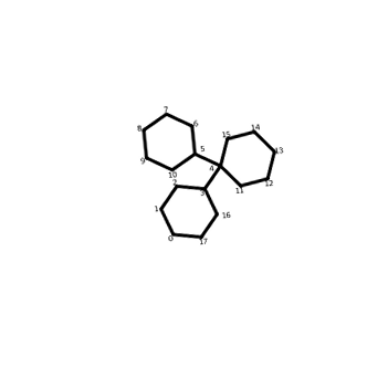 C1CCC(C2(C3CCCCC3)CCCCC2)CC1